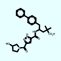 CC(C)(CC(Cc1ccc(-c2ccccc2)cc1)NC(=O)c1cc(C(=O)N2CCC(O)C2)n[nH]1)C(=O)O